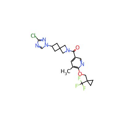 Cc1cc(C(=O)N2CC3(CC(n4cnc(Cl)n4)C3)C2)cnc1OCC1(C(F)(F)F)CC1